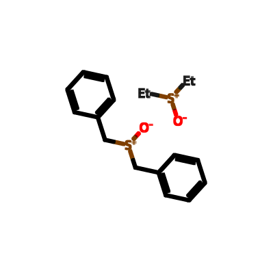 CC[S+]([O-])CC.[O-][S+](Cc1ccccc1)Cc1ccccc1